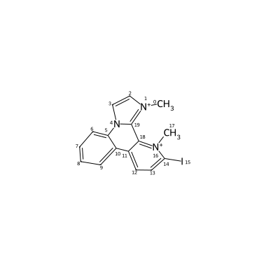 C[n+]1ccn2c3ccccc3c3ccc(I)[n+](C)c3c21